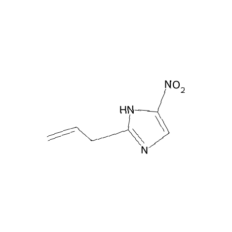 C=CCc1ncc([N+](=O)[O-])[nH]1